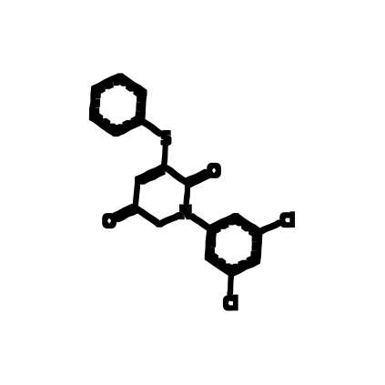 O=C1C=C(Sc2ccccc2)C(=O)N(c2cc(Cl)cc(Cl)c2)C1